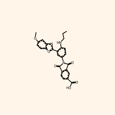 CCCNc1ccc(N2C(=O)c3ccc(C(=O)O)cc3C2=O)cc1-c1nc2cc(OC)ccc2o1